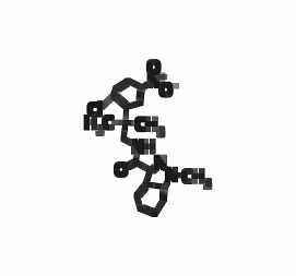 Cn1nc(C(=O)NCC(C)(C)c2cc([N+](=O)[O-])ccc2Cl)c2ccccc21